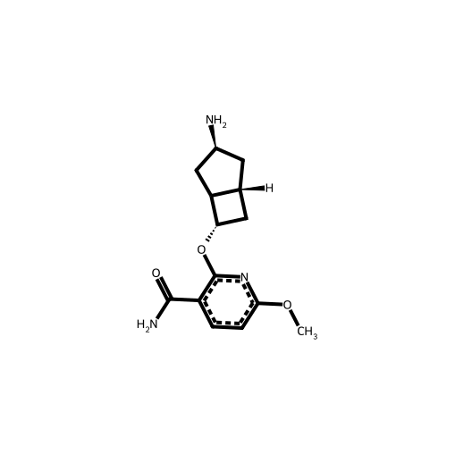 COc1ccc(C(N)=O)c(O[C@H]2C[C@H]3C[C@H](N)CC32)n1